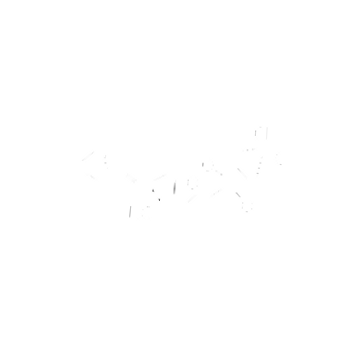 Cn1c(C#Cc2ccccc2)cc2oc(C=C3C(=O)c4cc(Cl)c(Cl)cc4C3=O)cc21